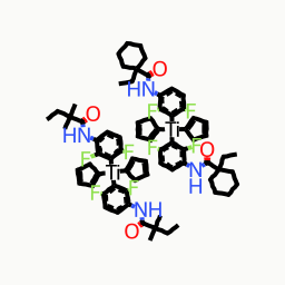 CCC(C)(C)C(=O)Nc1ccc(F)[c]([Ti]([C]2=CC=CC2)([C]2=CC=CC2)[c]2c(F)ccc(NC(=O)C(C)(C)CC)c2F)c1F.CCC1(C(=O)Nc2ccc(F)[c]([Ti]([C]3=CC=CC3)([C]3=CC=CC3)[c]3c(F)ccc(NC(=O)C4(CC)CCCCC4)c3F)c2F)CCCCC1